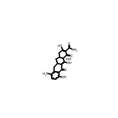 NC(=O)C1=C(O)CC2CC3Cc4c(N)ccc(O)c4C(=O)C3=C(O)[C@]2(O)C1=O